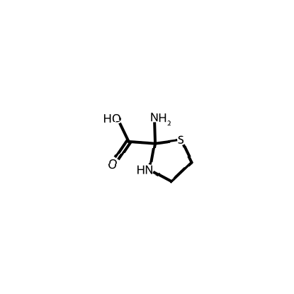 NC1(C(=O)O)NCCS1